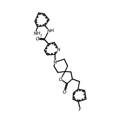 Nc1ccccc1NC(=O)c1ccc(N2CCC3(CC2)CC(Cc2ccc(F)cc2)C(=O)O3)nc1